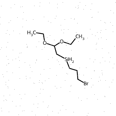 CCOC(C[SiH2]CCCBr)OCC